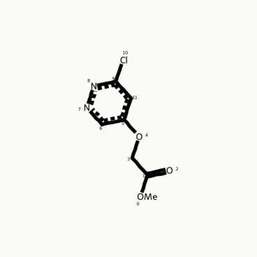 COC(=O)COc1cnnc(Cl)c1